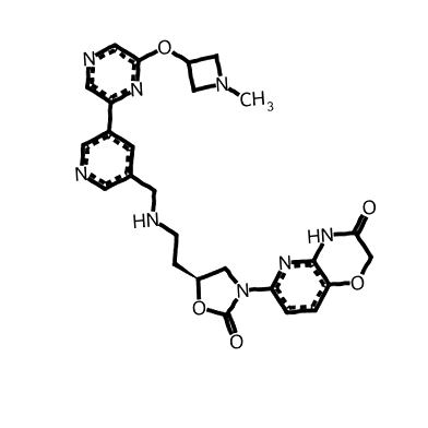 CN1CC(Oc2cncc(-c3cncc(CNCC[C@H]4CN(c5ccc6c(n5)NC(=O)CO6)C(=O)O4)c3)n2)C1